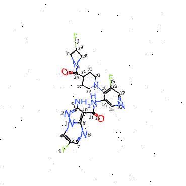 Nc1nn2cc(F)cnc2c1C(=O)Nc1cncc(F)c1N1CCC(C(=O)N2CC(F)C2)CC1